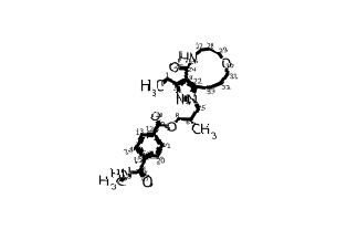 CCc1nn(C[C@@H](C)COC(=O)c2ccc(C(=O)NC)cc2)c2c1C(=O)NCCCOCCC2